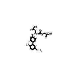 Cc1ccc(Cl)c(-c2ccc(C[C@H](CC(=O)O)NC(=O)CCC(=O)O)cc2)c1